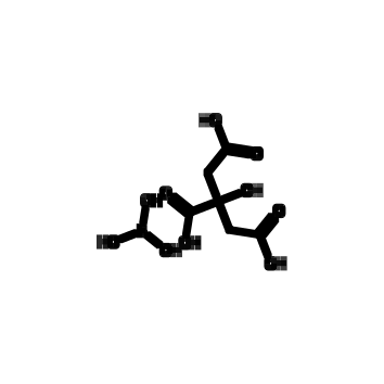 O=C(O)CC(O)(CC(=O)O)C(=O)O.OB(O)O